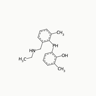 CCNCc1cccc(C)c1Pc1cccc(C)c1O